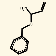 C=CC(N)OCc1ccccc1